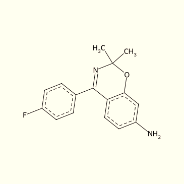 CC1(C)N=C(c2ccc(F)cc2)c2ccc(N)cc2O1